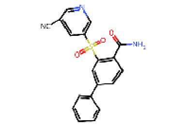 N#Cc1cncc(S(=O)(=O)c2cc(-c3ccccc3)ccc2C(N)=O)c1